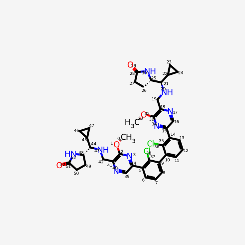 COc1nc(-c2cccc(-c3cccc(-c4cnc(CN[C@H](C5CC5)[C@@H]5CCC(=O)N5)c(OC)n4)c3Cl)c2Cl)cnc1CNC(C1CC1)[C@@H]1CCC(=O)N1